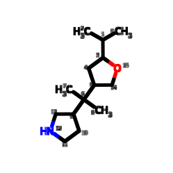 CC(C)C1CC(C(C)(C)C2CCNC2)CO1